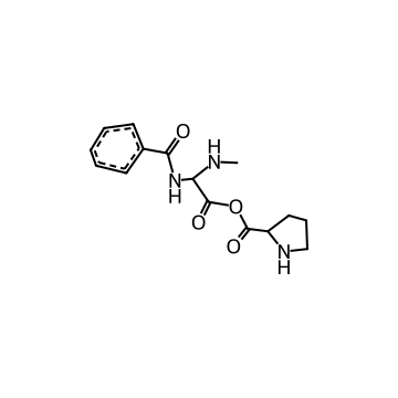 CNC(NC(=O)c1ccccc1)C(=O)OC(=O)C1CCCN1